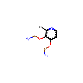 CCc1nccc(OSN)c1OSN